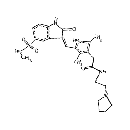 CNS(=O)(=O)c1ccc2c(c1)/C(=C/c1[nH]c(C)c(CC(=O)NCCN3CCCC3)c1C)C(=O)N2